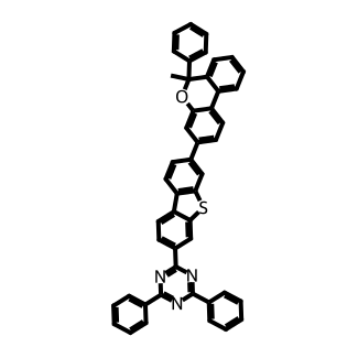 CC1(c2ccccc2)Oc2cc(-c3ccc4c(c3)sc3cc(-c5nc(-c6ccccc6)nc(-c6ccccc6)n5)ccc34)ccc2-c2ccccc21